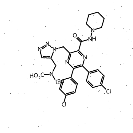 CC(C)(C)N(Cc1cnnn1Cc1nc(-c2ccc(Cl)cc2)c(-c2ccc(Cl)cc2)nc1C(=O)NN1CCCCC1)C(=O)O